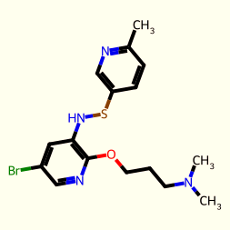 Cc1ccc(SNc2cc(Br)cnc2OCCCN(C)C)cn1